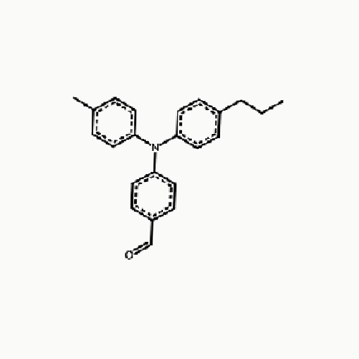 CCCc1ccc(N(c2ccc(C)cc2)c2ccc(C=O)cc2)cc1